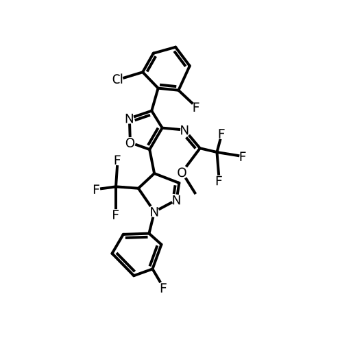 CO/C(=N\c1c(-c2c(F)cccc2Cl)noc1C1C=NN(c2cccc(F)c2)C1C(F)(F)F)C(F)(F)F